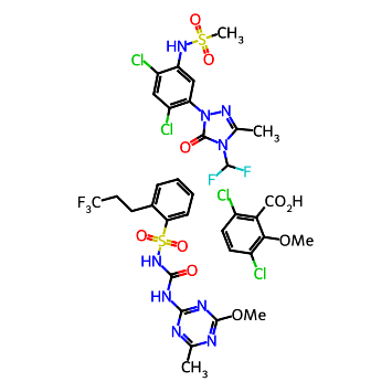 COc1c(Cl)ccc(Cl)c1C(=O)O.COc1nc(C)nc(NC(=O)NS(=O)(=O)c2ccccc2CCC(F)(F)F)n1.Cc1nn(-c2cc(NS(C)(=O)=O)c(Cl)cc2Cl)c(=O)n1C(F)F